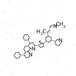 C=N/C=C\C=C(/C)c1cc(-c2cccnc2)cc(-c2ccc(-c3cc(-c4ccccc4)c4ccc5c(-c6ccccc6)ccnc5c4n3)s2)c1